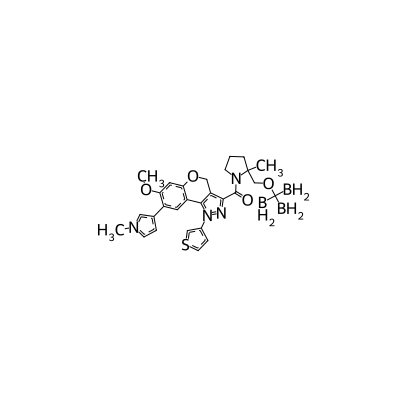 BC(B)(B)OCC1(C)CCCN1C(=O)c1nn(-c2ccsc2)c2c1COc1cc(OC)c(-c3ccn(C)c3)cc1-2